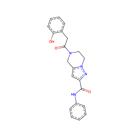 O=C(Nc1ccccc1)c1cc2n(n1)CCN(C(=O)Cc1ccccc1O)C2